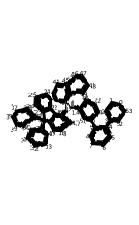 c1ccc(-c2ccccc2-c2cccc(N(c3cccc4c3-c3ccccc3C4(c3ccccc3)c3ccccc3)c3cccc4ccccc34)c2)cc1